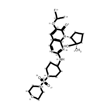 C[C@@]1(O)CCC[C@H]1n1c(=O)c(OC(F)F)cc2cnc(NC3CCN(S(=O)(=O)N4CCOCC4)CC3)nc21